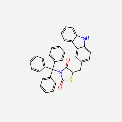 O=C1SC(Cc2ccc3[nH]c4ccccc4c3c2)C(=O)N1C(c1ccccc1)(c1ccccc1)c1ccccc1